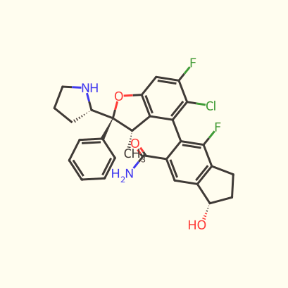 C[C@H]1c2c(cc(F)c(Cl)c2-c2c(C(N)=O)cc3c(c2F)CC[C@@H]3O)O[C@@]1(c1ccccc1)[C@@H]1CCCN1